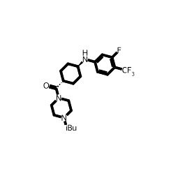 CCC(C)N1CCN(C(=O)[C@H]2CC[C@H](Nc3ccc(C(F)(F)F)c(F)c3)CC2)CC1